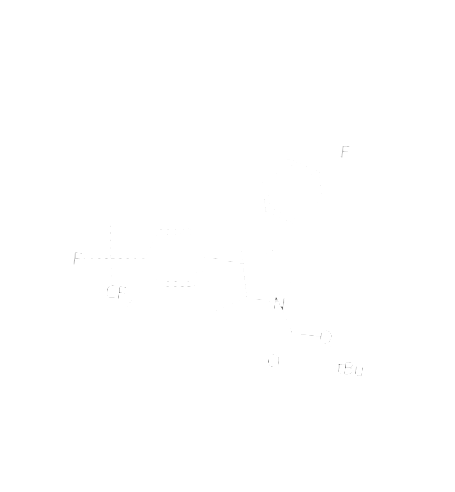 CC(C)(C)OC(=O)N1CCC2(Cc3ccc(F)cc3)c3ccc(C(C)(F)C(F)(F)F)cc3CC12